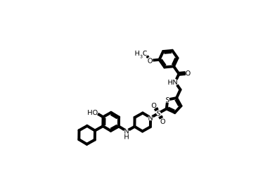 COc1cccc(C(=O)NCc2ccc(S(=O)(=O)N3CCC(Nc4ccc(O)c(C5CCCCC5)c4)CC3)s2)c1